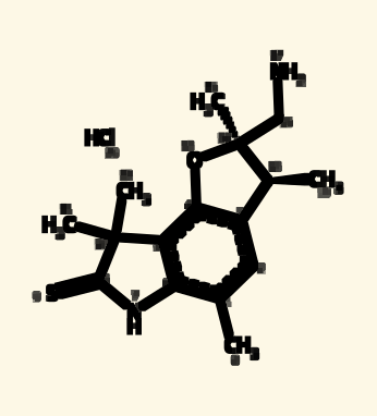 Cc1cc2c(c3c1NC(=S)C3(C)C)O[C@@](C)(CN)[C@H]2C.Cl